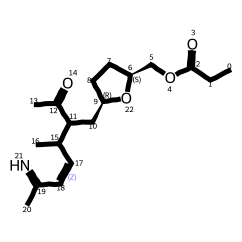 CCC(=O)OC[C@@H]1CC[C@H](CC(C(C)=O)C(C)/C=C\C(C)=N)O1